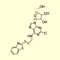 C[C@@H](CNc1nc(Cl)nc2c1ncn2[C@@H]1O[C@H](CO)C(O)C1O)Sc1nc2ccccc2s1